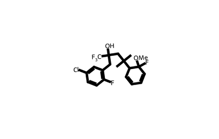 COC1(F)C=CC=CC1C(C)(C)CC(O)(Cc1cc(Cl)ccc1F)C(F)(F)F